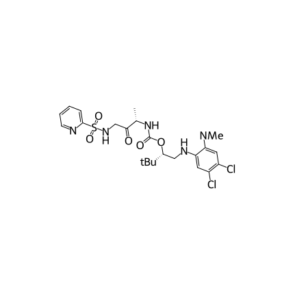 CNc1cc(Cl)c(Cl)cc1NC[C@@H](OC(=O)N[C@@H](C)C(=O)CNS(=O)(=O)c1ccccn1)C(C)(C)C